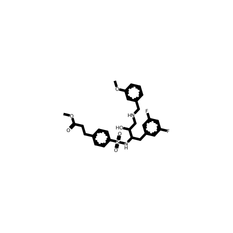 COC(=O)CCc1ccc(S(=O)(=O)NC(Cc2cc(F)cc(F)c2)C(O)CNCc2cccc(OC)c2)cc1